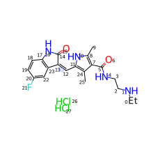 CCNCCNC(=O)c1c(C)[nH]c(/C=C2\C(=O)Nc3ccc(F)cc32)c1C.Cl.Cl